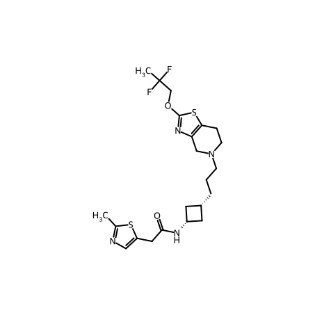 Cc1ncc(CC(=O)N[C@H]2C[C@@H](CCCN3CCc4sc(OCC(C)(F)F)nc4C3)C2)s1